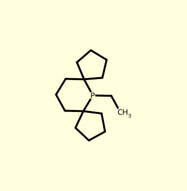 CCP1C2(CCCC2)CCCC12CCCC2